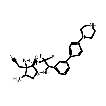 CC1C[C@H](NC(c2cccc(-c3ccc(N4CCNCC4)cc3)c2)C(F)(F)F)C(=O)C1(N)CC#N